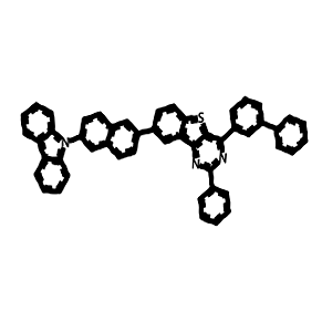 c1ccc(-c2cccc(-c3nc(-c4ccccc4)nc4c3sc3ccc(-c5ccc6cc(-n7c8ccccc8c8ccccc87)ccc6c5)cc34)c2)cc1